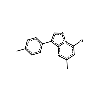 Cc1ccc(-c2cnn3c(S)cc(C)nc23)cc1